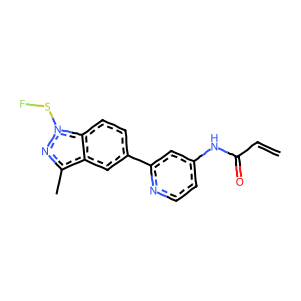 C=CC(=O)Nc1ccnc(-c2ccc3c(c2)c(C)nn3SF)c1